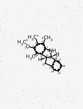 COc1c(C)c(C)c2c(c1C)[C@H]1Cc3ccccc3[C@H]1N2